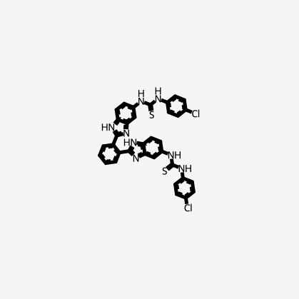 S=C(Nc1ccc(Cl)cc1)Nc1ccc2[nH]c(-c3ccccc3-c3nc4cc(NC(=S)Nc5ccc(Cl)cc5)ccc4[nH]3)nc2c1